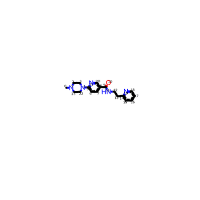 CN1CCN(c2ccc(C(=O)NCCc3ccccn3)cn2)CC1